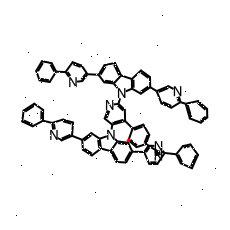 N#Cc1ccc(-c2cc(-n3c4cc(-c5ccc(-c6ccccc6)nc5)ccc4c4ccc(-c5ccc(-c6ccccc6)nc5)cc43)ncc2-n2c3cc(-c4ccc(-c5ccccc5)nc4)ccc3c3ccc(-c4ccc(-c5ccccc5)nc4)cc32)cc1